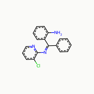 Nc1ccccc1/C(=N\c1ncccc1Cl)c1ccccc1